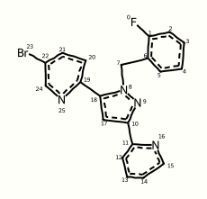 Fc1ccccc1Cn1nc(-c2ccccn2)cc1-c1ccc(Br)cn1